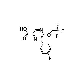 O=C(O)c1cnc(OCC(F)(F)F)c(-c2ccc(F)cc2)n1